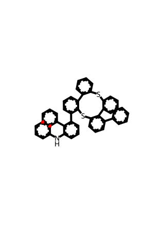 c1ccc(Nc2cccc(-c3cccc4c3Sc3cccc(-c5ccccc5)c3-c3ccccc3Sc3ccccc3-4)c2-c2ccccc2)cc1